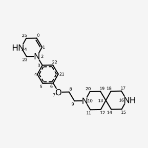 C1=CN(c2ccc(OCCN3CCC4(CCNCC4)CC3)cc2)CNC1